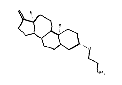 C=C1CCC2C3CCC4C[C@@H](OCCN)CC[C@]4(C)C3CC[C@]12C